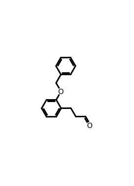 O=CCCc1ccccc1OCc1ccccc1